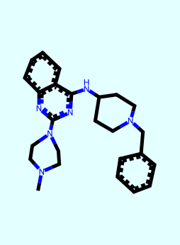 CN1CCN(c2nc(NC3CCN(Cc4ccccc4)CC3)c3ccccc3n2)CC1